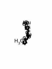 CC1CCCN1C(=O)Cc1cc(OCC2CCN(C(=O)OC(C)(C)C)CC2)no1